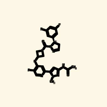 CC(=O)Nc1cc(-c2cc(OC3CN(C(=O)N4N=CC[C@H]4c4cc(F)cc(F)c4)C3)c(F)cn2)n(C)n1